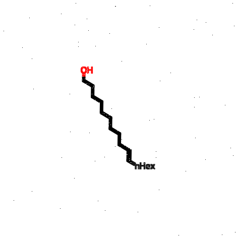 CCCCCCC=CCCCCCCCCCO